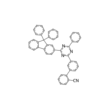 N#Cc1ccccc1-c1cccc(-c2nc(-c3ccccc3)nc(-c3ccc4c(c3)C(c3ccccc3)(c3ccccc3)c3ccccc3-4)n2)c1